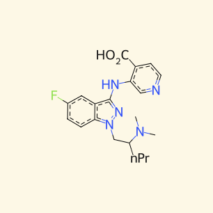 CCCC(Cn1nc(Nc2cnccc2C(=O)O)c2cc(F)ccc21)N(C)C